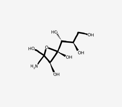 NC1(O)O[C@](O)([C@H](O)[C@H](O)CO)[C@H]1O